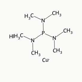 CN(C)P(N(C)C)N(C)C.I.[Cu]